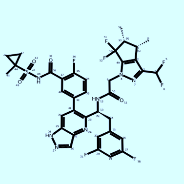 C[C@@H]1c2c(C(F)F)nn(CC(=O)N[C@@H](Cc3cc(F)cc(F)c3)c3nc4cn[nH]c4cc3-c3ccc(F)c(C(=O)NS(=O)(=O)C4(C)CC4)c3)c2C(F)(F)[C@@H]1C